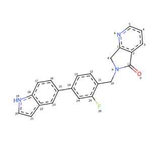 O=C1c2cccnc2CN1Cc1ccc(-c2ccc3[nH]ccc3c2)cc1F